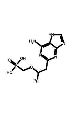 [2H]C(Cc1nc(N)c2[nH]cnc2n1)OCP(=O)(O)O